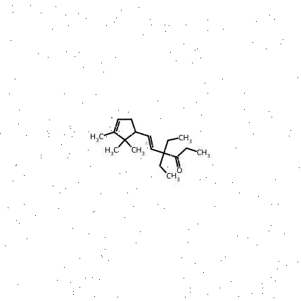 CCC(=O)C(/C=C/C1CC=C(C)C1(C)C)(CC)CC